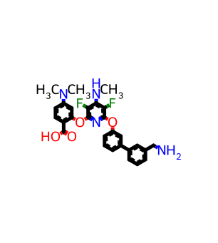 CNc1c(F)c(Oc2cccc(-c3cccc(CN)c3)c2)nc(Oc2cc(N(C)C)ccc2C(=O)O)c1F